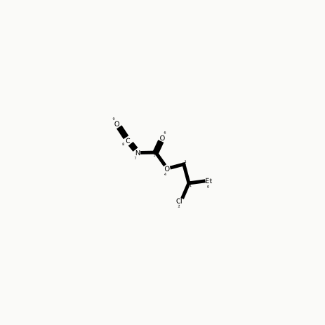 CCC(Cl)COC(=O)N=C=O